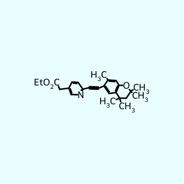 CCOC(=O)Cc1ccc(C#Cc2cc3c(cc2C)OC(C)(C)CC3(C)C)nc1